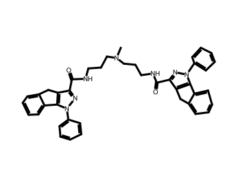 CN(CCCNC(=O)c1nn(-c2ccccc2)c2c1Cc1ccccc1-2)CCCNC(=O)c1nn(-c2ccccc2)c2c1Cc1ccccc1-2